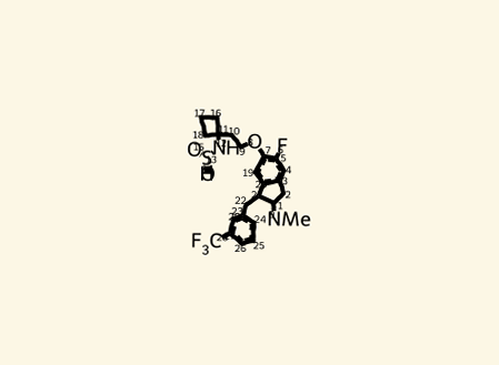 CNC1Cc2cc(F)c(OCCC3(N[SH](=O)=O)CCC3)cc2C1Cc1cccc(C(F)(F)F)c1